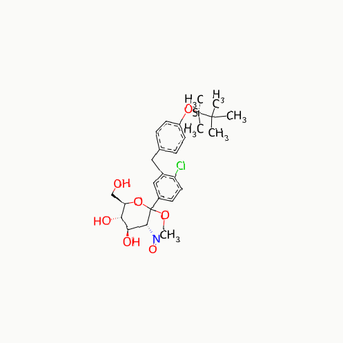 COC1(c2ccc(Cl)c(Cc3ccc(O[Si](C)(C)C(C)(C)C)cc3)c2)O[C@H](CO)[C@@H](O)[C@H](O)[C@H]1N=O